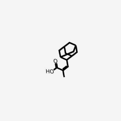 CC(=CC1C2CC3CC(C2)CC1C3)C(=O)O